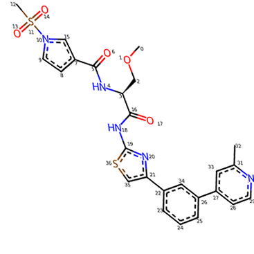 COC[C@H](NC(=O)c1ccn(S(C)(=O)=O)c1)C(=O)Nc1nc(-c2cccc(-c3ccnc(C)c3)c2)cs1